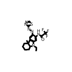 CCN1c2cc(NC(=O)C(F)(F)F)c(N=Nc3nncs3)cc2C2(C)CCCCC12